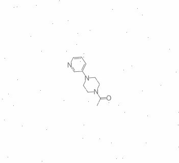 CC(=O)N1CCN(c2c[c]cnc2)CC1